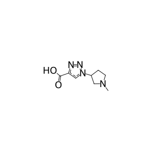 CN1CCC(n2cc(C(=O)O)nn2)C1